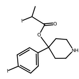 CC(I)C(=O)OC1(c2ccc(I)cc2)CCNCC1